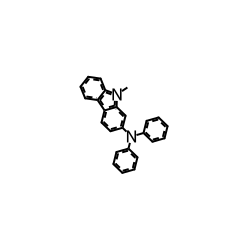 Cn1c2ccccc2c2ccc(N(c3ccccc3)c3ccccc3)cc21